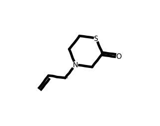 C=C[CH]N1CCSC(=O)C1